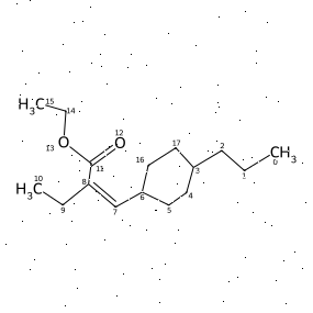 CCCC1CCC(C=C(CC)C(=O)OCC)CC1